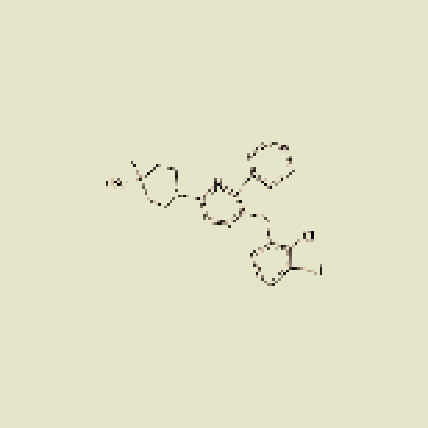 CCCCC1(C)CCN(c2cnc(Sc3cccc(Cl)c3Cl)c(-c3ccccc3)n2)CC1